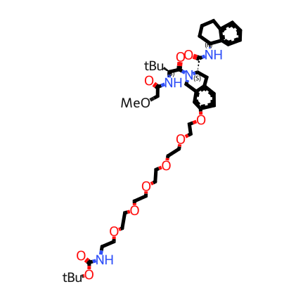 COCC(=O)N[C@H](C(=O)N1Cc2cc(OCCOCCOCCOCCOCCOCCNC(=O)OC(C)(C)C)ccc2C[C@H]1C(=O)N[C@@H]1CCCc2ccccc21)C(C)(C)C